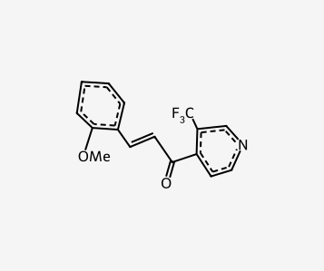 COc1ccccc1C=CC(=O)c1ccncc1C(F)(F)F